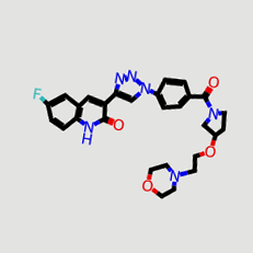 O=C(c1ccc(-n2cc(-c3cc4cc(F)ccc4[nH]c3=O)nn2)cc1)N1CCC(OCCN2CCOCC2)C1